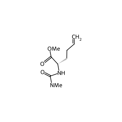 C=CCC[C@H](NC(=O)NC)C(=O)OC